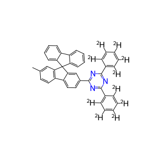 [2H]c1c([2H])c([2H])c(-c2nc(-c3ccc4c(c3)C3(c5ccccc5-c5ccccc53)c3cc(C)ccc3-4)nc(-c3c([2H])c([2H])c([2H])c([2H])c3[2H])n2)c([2H])c1[2H]